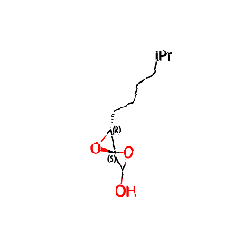 CC(C)CCCC[C@H]1O[C@]12OC2O